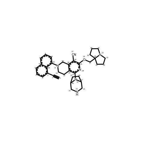 C#Cc1cccc2cccc(N3CCc4c(N5C6CCC5CNC6)nc(OCC56CCCN5CCC6)c(C#N)c4C3)c12